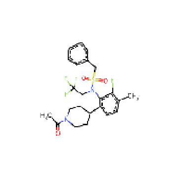 [CH2]c1ccc(C2CCN(C(C)=O)CC2)c(N(CC(F)(F)F)S(=O)(=O)Cc2ccccc2)c1F